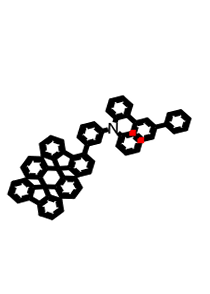 c1ccc(-c2cccc(-c3ccccc3N(c3ccccc3)c3cccc(-c4cccc5c4-c4ccccc4C54c5ccccc5C5(c6ccccc6-c6ccccc65)c5ccccc54)c3)c2)cc1